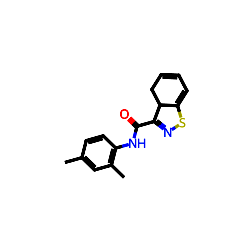 Cc1ccc(NC(=O)C2=NSC3=CC=CCC32)c(C)c1